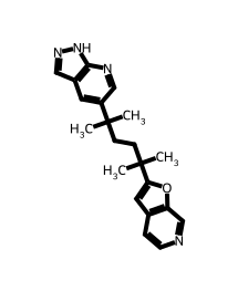 CC(C)(CCC(C)(C)c1cc2ccncc2o1)c1cnc2[nH]ncc2c1